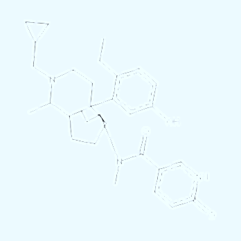 CCc1ccc(O)cc1C12CCN(CC3CC3)C(C)C13CCC(N(C)C(=O)c1ccc(=O)[nH]c1)C2CC3